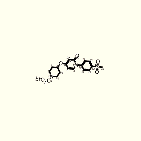 CCOC(=O)N1CCC(Oc2ccn(-c3ccc(S(C)(=O)=O)cc3)c(=O)c2)CC1